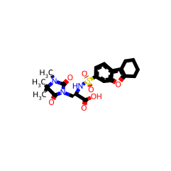 CN1C(=O)N(C[C@@H](NS(=O)(=O)c2ccc3c4c(oc3c2)CCCC4)C(=O)O)C(=O)C1(C)C